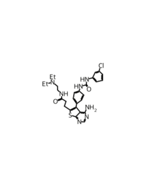 CCN(CC)CCNC(=O)CCc1sc2ncnc(N)c2c1-c1ccc(NC(=O)Nc2cccc(Cl)c2)cc1